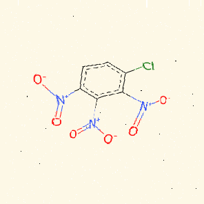 O=[N+]([O-])c1ccc(Cl)c([N+](=O)[O-])c1[N+](=O)[O-]